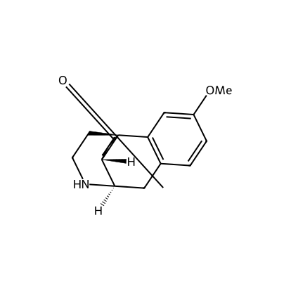 COc1ccc2c(c1)[C@]13CCN[C@H](C2)[C@@H]1CCC(=O)C3